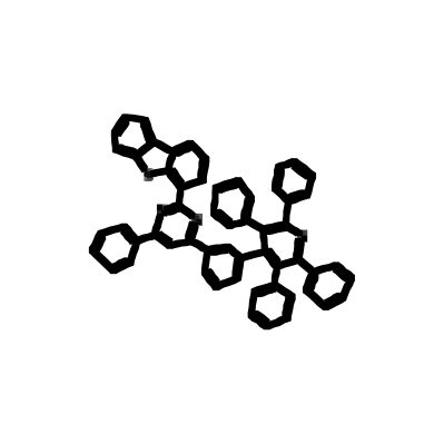 c1ccc(-c2cc(-c3cccc(-c4c(-c5ccccc5)c(-c5ccccc5)nc(-c5ccccc5)c4-c4ccccc4)c3)nc(-c3cccc4c3sc3ccccc34)n2)cc1